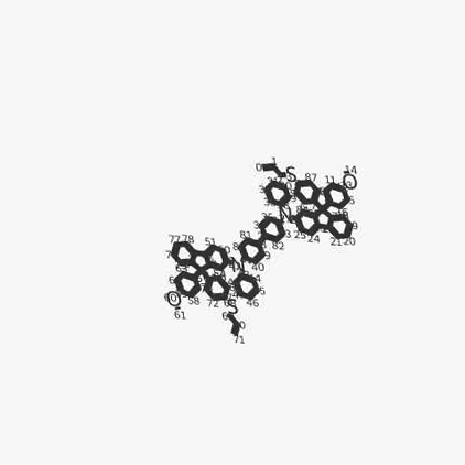 C=CCSc1ccc(C2(C3=CC=C(OC)CC3)c3ccccc3-c3ccc(N(c4ccccc4)c4ccc(-c5ccc(N(c6ccccc6)c6ccc7c(c6)C(c6ccc(OC)cc6)(c6ccc(SCC=C)cc6)c6ccccc6-7)cc5)cc4)cc32)cc1